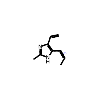 C=Cc1nc(C)[nH]c1/C=C\C